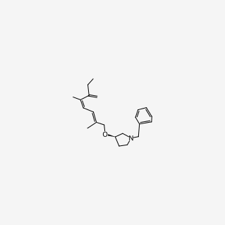 C=C(CC)/C(C)=C\C=C(/C)CO[C@@H]1CCN(Cc2ccccc2)C1